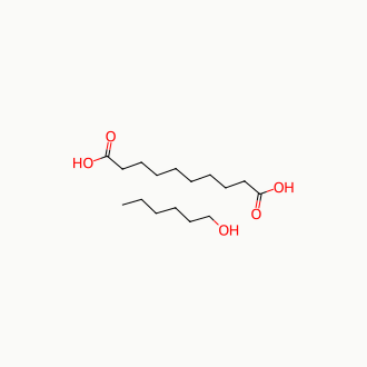 CCCCCCO.O=C(O)CCCCCCCCC(=O)O